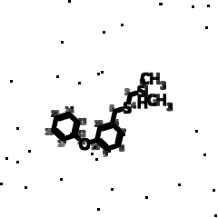 C[SiH](C)CSCc1cccc(Oc2ccccc2)c1